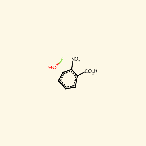 O=C(O)c1ccccc1[N+](=O)[O-].OF